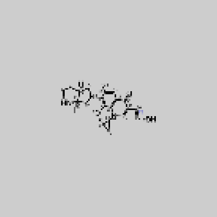 COc1c(N2C[C@@H]3CCCN[C@@H]3C2)c(F)cc2c(=O)c(/C=N/O)cn(C3CC3)c12